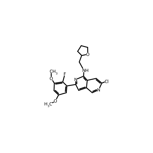 COc1cc(OC)c(F)c(-c2cc3cnc(Cl)cc3c(NCC3CCCO3)n2)c1